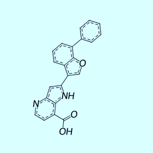 O=C(O)c1ccnc2cc(-c3coc4c(-c5ccccc5)cccc34)[nH]c12